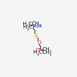 CC(C)(C)C(=N)CCCSSCCOCCC(=O)C(C)(C)C